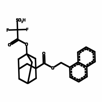 O=C(OCc1cccc2ccccc12)C12CC3CC(CC(OC(=O)C(F)(F)S(=O)(=O)O)(C3)C1)C2